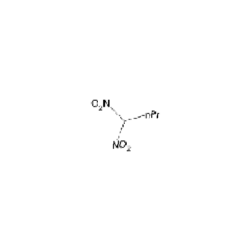 [CH2]CCC([N+](=O)[O-])[N+](=O)[O-]